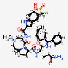 C#C/C=C\C(=C/C)C(NC(=O)[C@H](CCC(N)=O)NC(=O)[C@@H]1CC[C@@H]2CCN(C)C[C@H](NC(=O)c3cc4cc(C(F)(F)[PH](=O)O)ccc4[nH]3)C(=O)N21)c1ccccc1